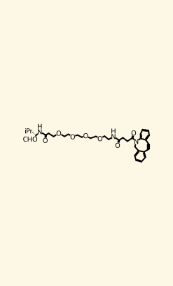 CC(C)[C@@H](C=O)NC(=O)CCOCCOCCOCCOCCNC(=O)CCC(=O)N1Cc2ccccc2C#Cc2ccccc21